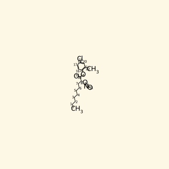 CCCCCCCCC(ON=O)C(=O)Oc1ccc(Cl)cc1C